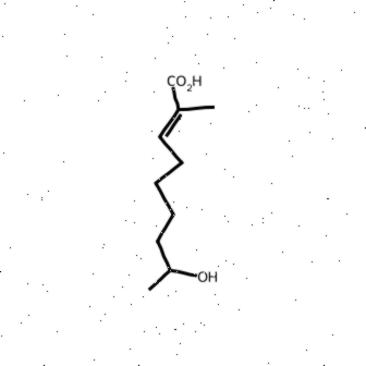 C/C(=C\CCCCC(C)O)C(=O)O